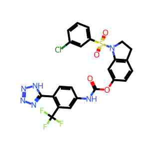 O=C(Nc1ccc(-c2nnn[nH]2)c(C(F)(F)F)c1)Oc1ccc2c(c1)N(S(=O)(=O)c1cccc(Cl)c1)CC2